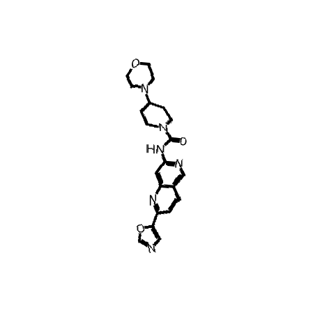 O=C(Nc1cc2nc(-c3cnco3)ccc2cn1)N1CCC(N2CCOCC2)CC1